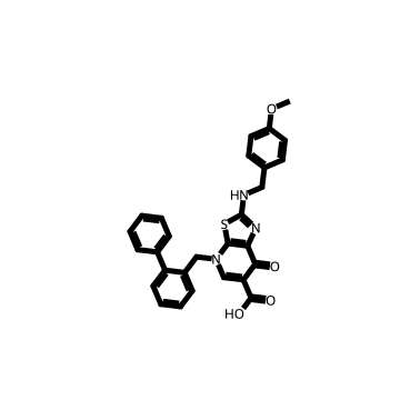 COc1ccc(CNc2nc3c(=O)c(C(=O)O)cn(Cc4ccccc4-c4ccccc4)c3s2)cc1